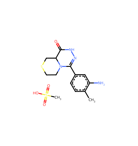 CS(=O)(=O)O.Cc1ccc(C2=NNC(=O)C3CSCCN23)cc1N